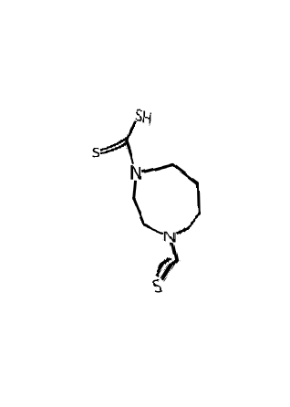 S=CN1CCCN(C(=S)S)CC1